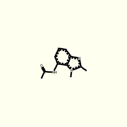 CC(=O)Nc1cccc2nc(C)n(C)c12